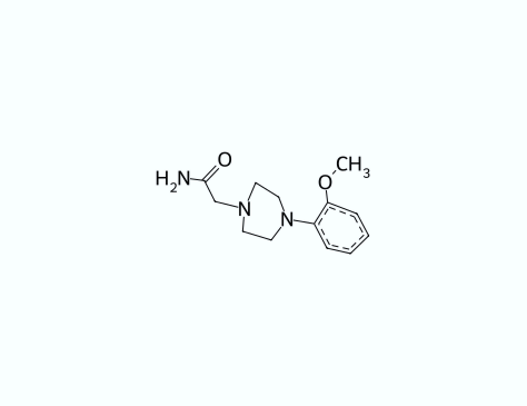 COc1ccccc1N1CCN(CC(N)=O)CC1